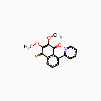 COC1=C(OC)C(=S)c2cccc(-c3ccccn3)c2C1=O